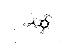 Cc1ccc(Cl)c(OC(=O)C(Cl)(Cl)Cl)c1